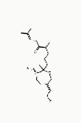 CC(=O)O[C@@H]1CCC(=CCF)COC1(C)CCCC(C)C(=O)CC=C(C)C